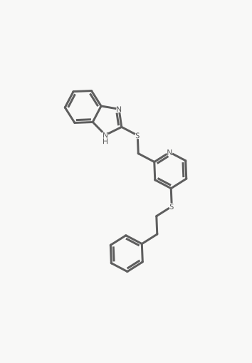 c1ccc(CCSc2ccnc(CSc3nc4ccccc4[nH]3)c2)cc1